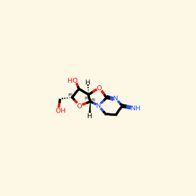 N=C1CCN2C(=N1)O[C@@H]1C(O)[C@@H](CO)O[C@H]12